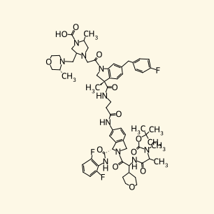 CC(C(=O)NC(C(=O)N1Cc2ccc(NC(=O)CCNC(=O)[C@]3(C)CN(C(=O)CN4CC(C)N(C(=O)O)CC4CN4CCOC[C@H]4C)c4cc(Cc5ccc(F)cc5)ccc43)cc2[C@H]1C(=O)Nc1c(F)cccc1F)C1CCOCC1)N(C)C(=O)OC(C)(C)C